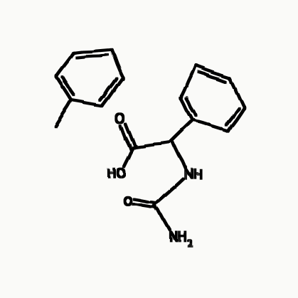 Cc1ccccc1.NC(=O)NC(C(=O)O)c1ccccc1